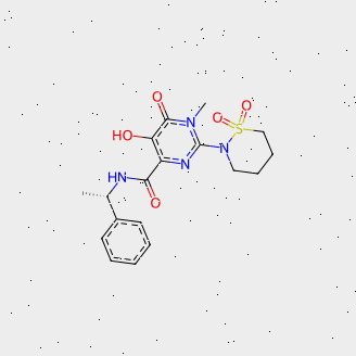 C[C@H](NC(=O)c1nc(N2CCCCS2(=O)=O)n(C)c(=O)c1O)c1ccccc1